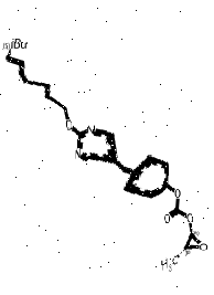 CC[C@H](C)CCCCCCOc1ncc(-c2ccc(OC(=O)O[C@H]3O[C@@H]3C)cc2)cn1